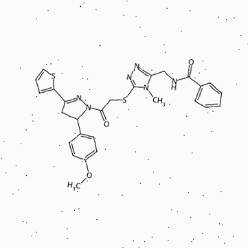 COc1ccc(C2CC(c3cccs3)=NN2C(=O)CSc2nnc(CNC(=O)c3ccccc3)n2C)cc1